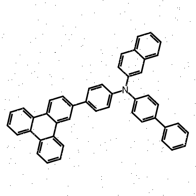 c1ccc(-c2ccc(N(c3ccc(-c4ccc5c6ccccc6c6ccccc6c5c4)cc3)c3ccc4ccccc4c3)cc2)cc1